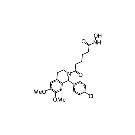 COc1cc2c(cc1OC)C(c1ccc(Cl)cc1)N(C(=O)CCCCC(=O)NO)CC2